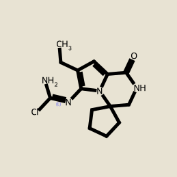 CCc1cc2n(c1/N=C(\N)Cl)C1(CCCC1)CNC2=O